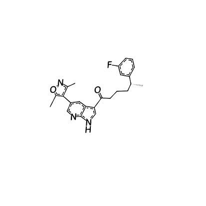 Cc1noc(C)c1-c1cnc2[nH]cc(C(=O)CCC[C@@H](C)c3cccc(F)c3)c2c1